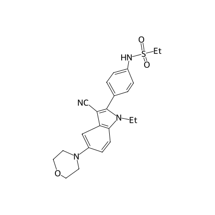 CCn1c(-c2ccc(NS(=O)(=O)CC)cc2)c(C#N)c2cc(N3CCOCC3)ccc21